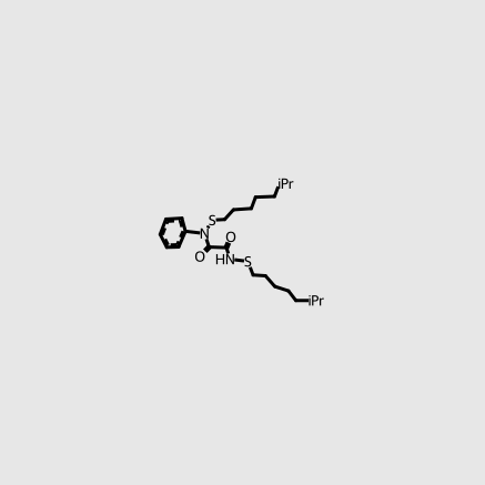 CC(C)CCCCCSNC(=O)C(=O)N(SCCCCCC(C)C)c1ccccc1